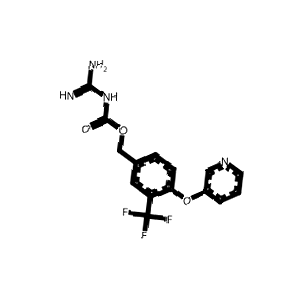 N=C(N)NC(=O)OCc1ccc(Oc2cccnc2)c(C(F)(F)F)c1